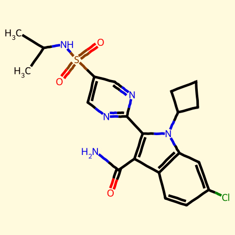 CC(C)NS(=O)(=O)c1cnc(-c2c(C(N)=O)c3ccc(Cl)cc3n2C2CCC2)nc1